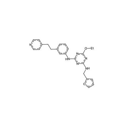 CCOc1nc(NCc2ccco2)nc(Nc2cccc(CCc3ccncc3)c2)n1